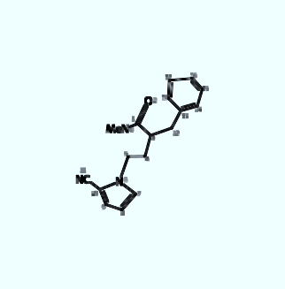 CNC(=O)C(CCn1cccc1C#N)Cc1ccccc1